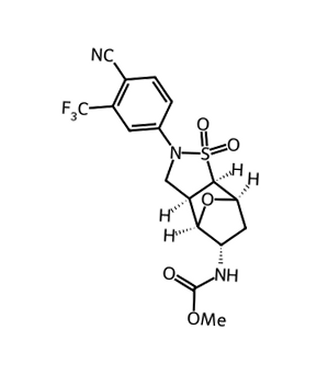 COC(=O)N[C@H]1C[C@H]2O[C@@H]1[C@H]1CN(c3ccc(C#N)c(C(F)(F)F)c3)S(=O)(=O)[C@H]12